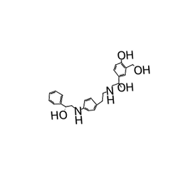 OCc1cc(C(O)CNCCc2ccc(NC[C@H](O)c3ccccc3)cc2)ccc1O